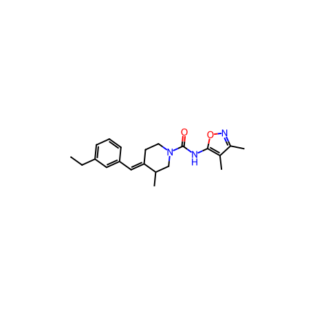 CCc1cccc(/C=C2\CCN(C(=O)Nc3onc(C)c3C)CC2C)c1